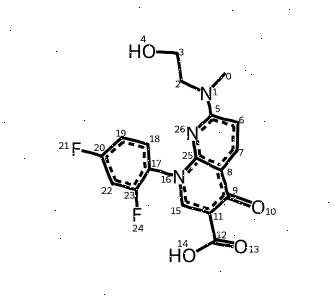 CN(CCO)c1ccc2c(=O)c(C(=O)O)cn(-c3ccc(F)cc3F)c2n1